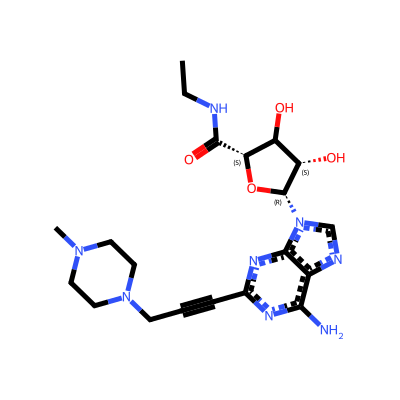 CCNC(=O)[C@H]1O[C@@H](n2cnc3c(N)nc(C#CCN4CCN(C)CC4)nc32)[C@@H](O)C1O